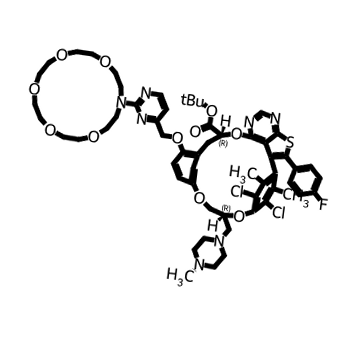 Cc1c(Cl)c2c(Cl)c(C)c1-c1c(-c3ccc(F)cc3)sc3ncnc(c13)O[C@@H](C(=O)OC(C)(C)C)Cc1cc(ccc1OCc1ccnc(N3CCOCCOCCOCCOCCOCC3)n1)OC[C@@H](CN1CCN(C)CC1)O2